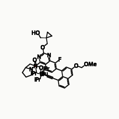 COCOc1cc(-c2ccc3c(N4CC5CCC(C4)N5C(=O)OC(C)(C)C)nc(OCC4(CO)CC4)nc3c2F)c2c(C#C[Si](C(C)C)(C(C)C)C(C)C)cccc2c1